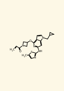 C=CC(=O)N1CC(Oc2nc(Nc3ncc(C)s3)cc3c2ccn3CC2CC2)C1